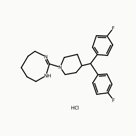 Cl.Fc1ccc(C(c2ccc(F)cc2)C2CCN(/C3=N/CCCCCN3)CC2)cc1